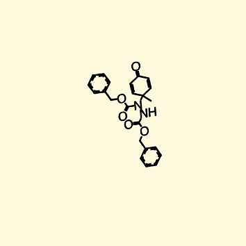 CC1(N(NC(=O)OCc2ccccc2)C(=O)OCc2ccccc2)C=CC(=O)C=C1